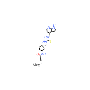 COCC#CC(=O)Nc1cccc(CNC(=S)NCc2ccnc3[nH]ccc23)c1